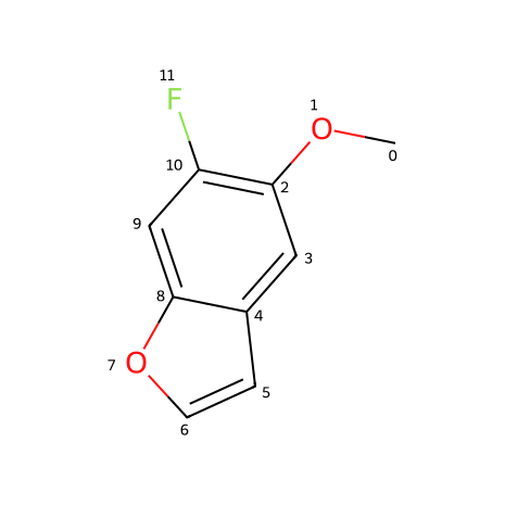 COc1cc2ccoc2cc1F